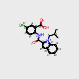 CC(C)Cn1c(C(=O)Nc2ccc(Br)cc2C(=O)O)cc2ccccc21